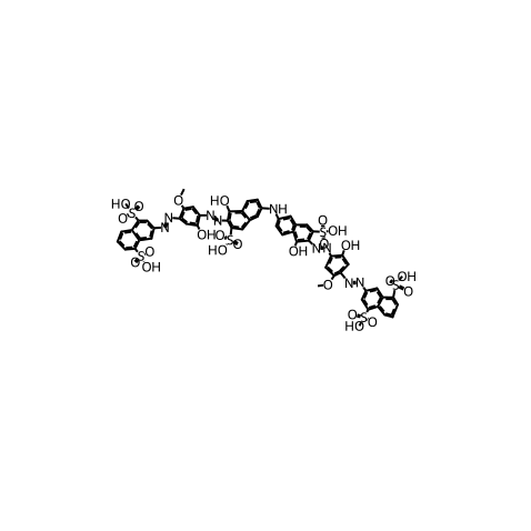 COc1cc(N=Nc2c(S(=O)(=O)O)cc3cc(Nc4ccc5c(O)c(N=Nc6cc(OC)c(N=Nc7cc(S(=O)(=O)O)c8cccc(S(=O)(=O)O)c8c7)cc6O)c(S(=O)(=O)O)cc5c4)ccc3c2O)c(O)cc1N=Nc1cc(S(=O)(=O)O)c2cccc(S(=O)(=O)O)c2c1